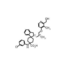 Cc1c(OC[C@H](C)C[C@H]2Cc3ccccc3C23CCC(Nc2cccc(Cl)c2)(C(=O)O)CC3)ccnc1CO